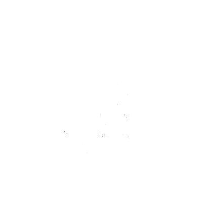 CC(C)C(NC(=S)OCc1csc2ccccc12)C(=O)NC1CCNC(=O)C1=O